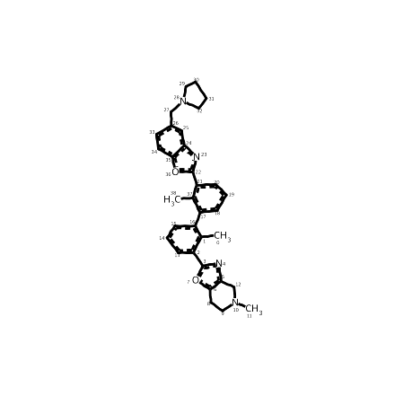 Cc1c(-c2nc3c(o2)CCN(C)C3)cccc1-c1cccc(-c2nc3cc(CN4CCCC4)ccc3o2)c1C